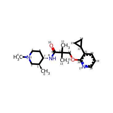 C[C@H]1CN(C)CC[C@@H]1NC(=O)C(C)(C)COc1ncccc1C1CC1